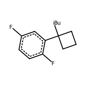 CCC(C)C1(c2cc(F)ccc2F)CCC1